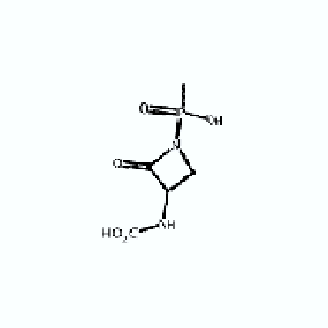 CP(=O)(O)N1CC(NC(=O)O)C1=O